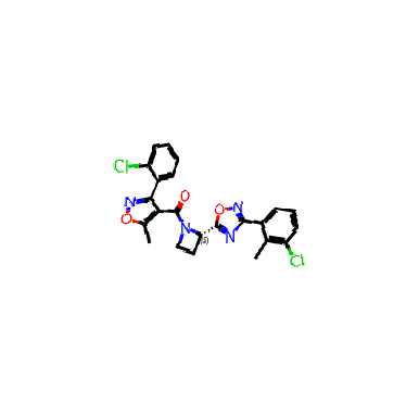 Cc1onc(-c2ccccc2Cl)c1C(=O)N1CC[C@H]1c1nc(-c2cccc(Cl)c2C)no1